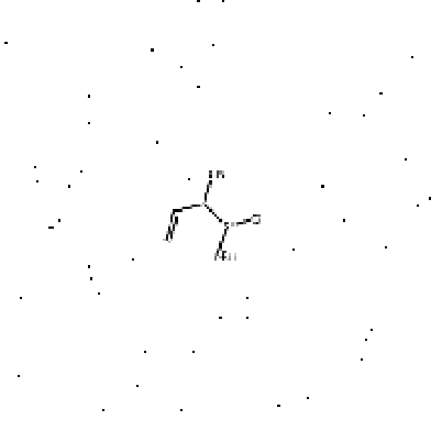 C=CC(C#N)[S+]([O-])CCCC